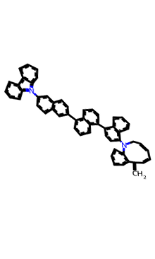 C=C1/C=C\C=C/CN(c2ccc(-c3cccc4c(-c5ccc6cc(-n7c8ccccc8c8ccccc87)ccc6c5)cccc34)c3ccccc23)c2ccccc21